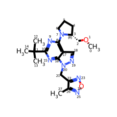 COC[C@H]1CCCN1c1nc(C(C)(C)C)nc2c1cnn2Cc1nonc1C